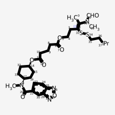 C/C(=C(\CCOC(=O)CCCC(=O)O[C@H]1CC[C@H](N(C)C(=O)c2ccc3nonc3c2)CC1)SSCCC(C)C)N(C)C=O